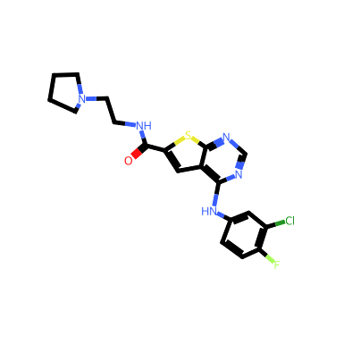 O=C(NCCN1CCCC1)c1cc2c(Nc3ccc(F)c(Cl)c3)ncnc2s1